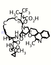 Cc1nc2ccccc2c2c1O[C@]1(CC2)C[C@H]2C(=O)N[C@]3(C(=O)NS(=O)(=O)C4(C)CC4)C[C@H]3/C=C\CCCCC[C@H](N(C(=O)O)C(C)C(F)(F)F)C(=O)N2C1